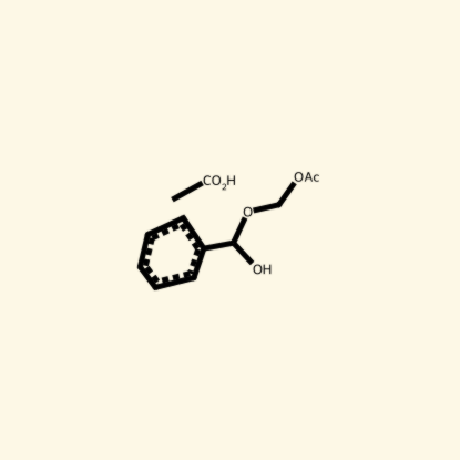 CC(=O)O.CC(=O)OCOC(O)c1ccccc1